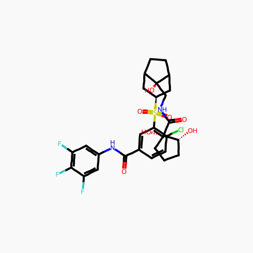 O=C(Nc1cc(F)c(F)c(F)c1)c1ccc(Cl)c(S(=O)(=O)[C@H]2CC3CCC(C2)[C@]3(O)CNC(=O)[C@]2(O)CCC[C@H]2O)c1